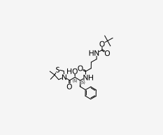 CC(C)(C)OC(=O)NCCCC(=O)N[C@@H](Cc1ccccc1)[C@H](O)C(=O)N1CSC(C)(C)C1